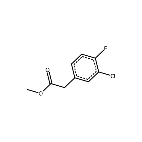 COC(=O)Cc1ccc(F)c(Cl)c1